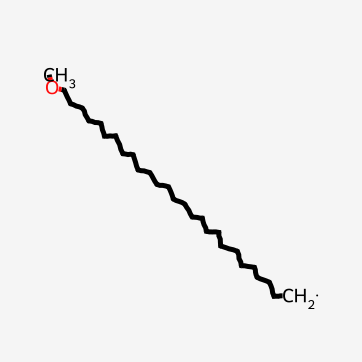 [CH2]CCCCCCCCCCCCCCCCCCCCCCCCCCOC